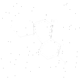 Cl.Fc1ccc2c(CCl)nccc2c1